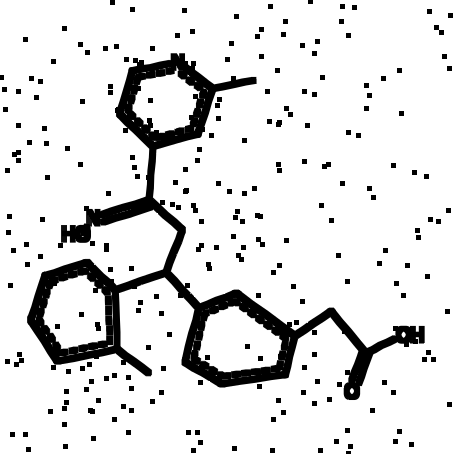 Cc1cc(/C(CC(c2cccc(CC(=O)O)c2)c2ccccc2C)=N/O)ccn1